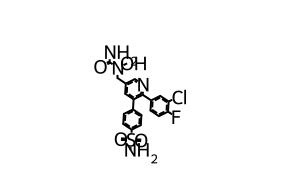 NC(=O)N(O)Cc1cnc(-c2ccc(F)c(Cl)c2)c(-c2ccc(S(N)(=O)=O)cc2)c1